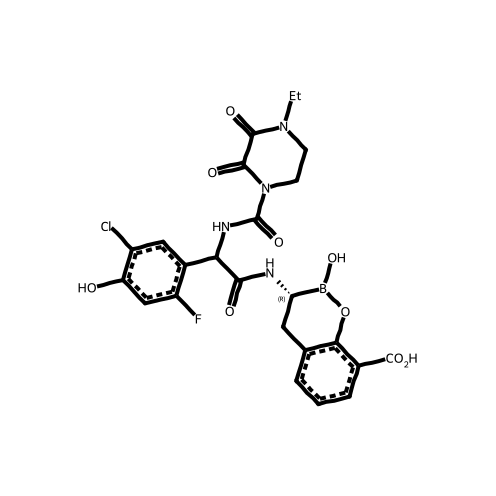 CCN1CCN(C(=O)NC(C(=O)N[C@H]2Cc3cccc(C(=O)O)c3OB2O)c2cc(Cl)c(O)cc2F)C(=O)C1=O